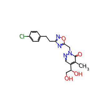 Cc1c([C@@H](O)CO)cnn(Cc2nc(CCc3ccc(Cl)cc3)no2)c1=O